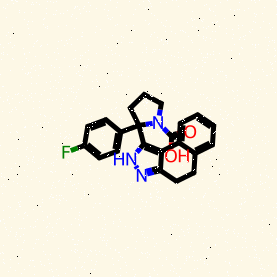 O=C(O)N1CCCC1(c1ccc(F)cc1)c1[nH]nc2c1-c1ccccc1CC2